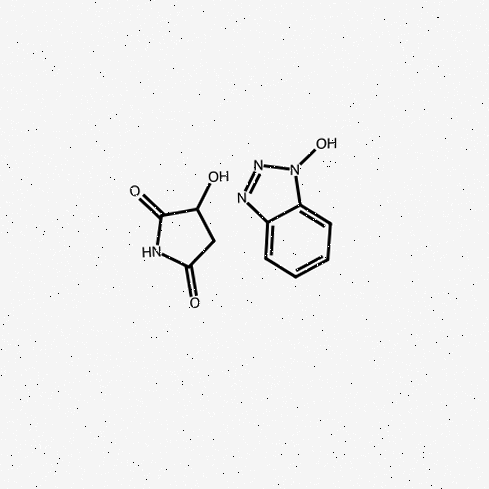 O=C1CC(O)C(=O)N1.On1nnc2ccccc21